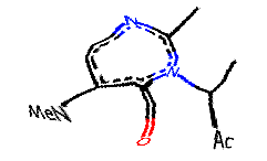 CNc1cnc(C)n(C(C)C(C)=O)c1=O